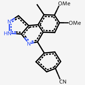 COc1cc2c(-c3ccc(C#N)cc3)nc3[nH]ncc3c2c(C)c1OC